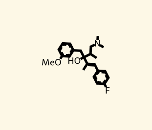 COc1cccc(CC(O)(C(C)=Cc2ccc(F)cc2)C(C)CN(C)C)c1